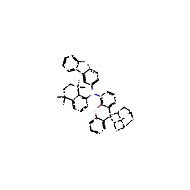 CC1(C)CCC(C)(C)c2c(N(c3ccc4sc5ccccc5c4c3)c3cccc4c3Oc3ccccc3C43C4CC5CC6CC3C64C5)cccc21